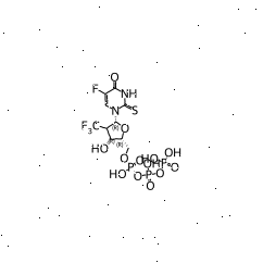 O=c1[nH]c(=S)n([C@@H]2O[C@H](COP(=O)(O)OP(=O)(O)OP(=O)(O)O)[C@H](O)C2C(F)(F)F)cc1F